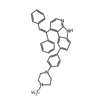 CN1CCN(c2ccc(-c3ccc4[nH]c5nccc(/C(=C\c6ccccc6)c6ccccc6)c5c4c3)cc2)CC1